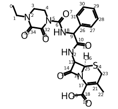 CCN1CCN(C(=O)NC(C(=O)NC2C(=O)N3C(C(=O)O)=C(C)CS[C@H]23)c2ccccc2)C(=O)C1=O